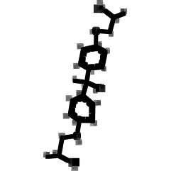 CCC(C)(c1ccc(OCC(C)S)cc1)c1ccc(OCC(C)S)cc1